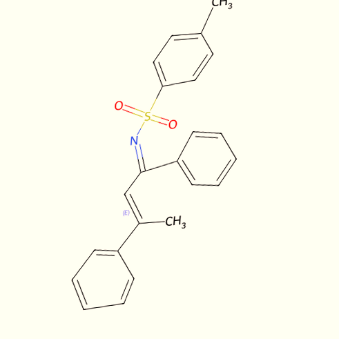 C/C(=C\C(=NS(=O)(=O)c1ccc(C)cc1)c1ccccc1)c1ccccc1